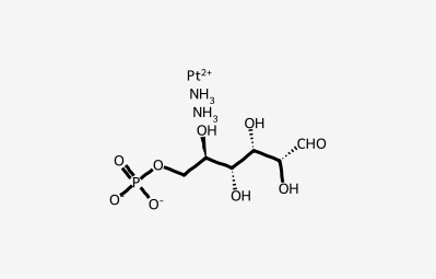 N.N.O=C[C@H](O)[C@@H](O)[C@H](O)[C@H](O)COP(=O)([O-])[O-].[Pt+2]